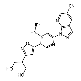 CC(C)Nc1cc(-n2ncc3cc(C#N)cnc32)ncc1-c1cc(C(CO)CO)no1